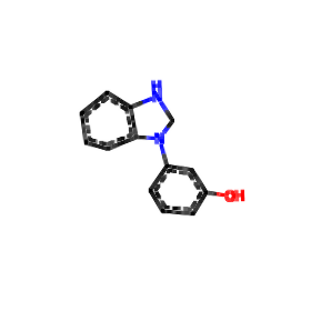 Oc1cccc(N2CNc3ccccc32)c1